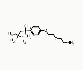 CC(C)(C)CC(C)(C)c1ccc(OCCOCCN)cc1